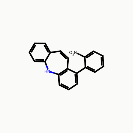 O=[N+]([O-])c1ccccc1-c1cccc2c1C=Cc1ccccc1N2